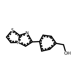 OCc1ccc(-c2cn3ccsc3n2)cc1